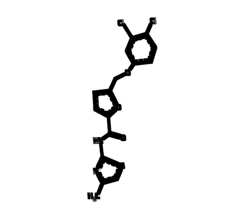 Cc1csc(NC(=O)c2ccc(COc3ccc(Cl)c(Cl)c3)o2)n1